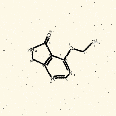 CCOc1ncnc2c1C(=O)NC2